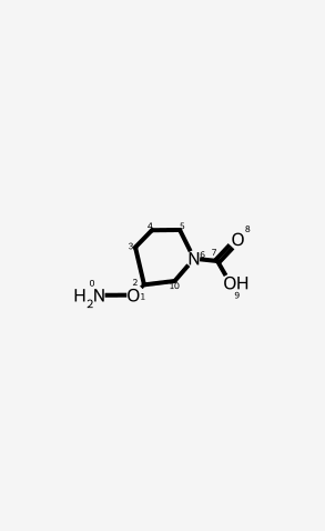 NO[C@@H]1CCCN(C(=O)O)C1